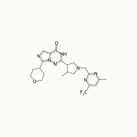 Cc1cc(C(F)(F)F)nc(CN2CC(C)C(c3nn4c(C5CCOCC5)ncc4c(=O)[nH]3)C2)n1